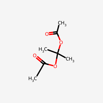 CC(=O)OC(C)(C)OC(C)=O